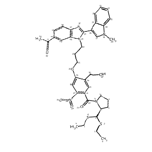 CCSC(SCC)[C@@H]1CCCN1C(=O)c1cc(CO)c(OCCCn2c(-c3cn(C)c4ccccc34)nc3ccc(C(C)=O)cc32)cc1[N+](=O)[O-]